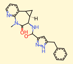 CN1C(=O)[C@H](NC(O)c2cc(Cc3ccccc3)[nH]n2)[C@@H]2CC2c2cccnc21